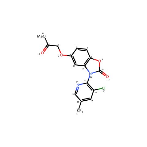 COC(=O)COc1ccc2oc(=O)n(-c3ncc(C(F)(F)F)cc3Cl)c2c1